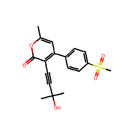 Cc1cc(-c2ccc(S(C)(=O)=O)cc2)c(C#CC(C)(C)O)c(=O)o1